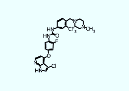 CN1CCN(Cc2ccc(NC(=O)Nc3ccc(Oc4ccnc5[nH]cc(Cl)c45)cc3F)cc2C(F)(F)F)CC1